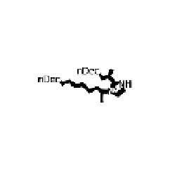 CCCCCCCCCCCCCCCCC(C)[n+]1cc[nH]c1C(C)CCCCCCCCCCC